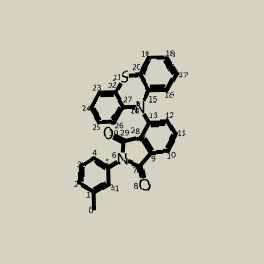 Cc1cccc(N2C(=O)c3cccc(N4c5ccccc5Sc5ccccc54)c3C2=O)c1